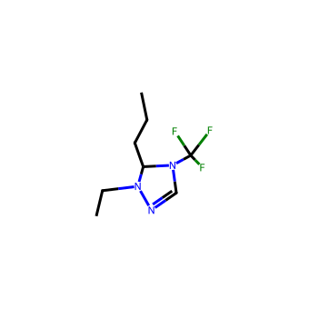 CCCC1N(CC)N=CN1C(F)(F)F